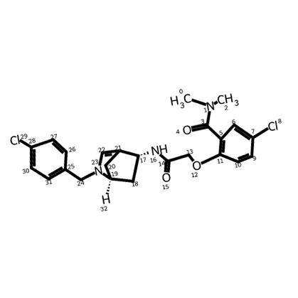 CN(C)C(=O)c1cc(Cl)ccc1OCC(=O)N[C@@H]1C[C@@H]2CC1=CN2Cc1ccc(Cl)cc1